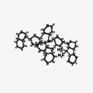 CC1(C)c2ccccc2-c2cccc(-c3ccc(N(c4ccccc4-c4cccc(-c5cccc6ccccc56)c4)c4cccc5c4sc4ccccc45)cc3)c21